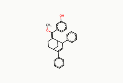 COC(=C1CCC2CC1C(c1ccccc1)C=C2c1ccccc1)c1cccc(O)c1